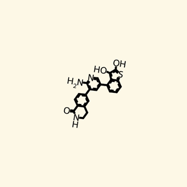 Nc1ncc(-c2cccc3sc(O)c(O)c23)cc1-c1ccc2c(c1)CCNC2=O